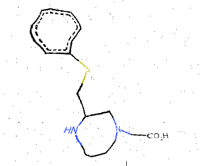 O=C(O)N1CCNC(CSc2ccccc2)C1